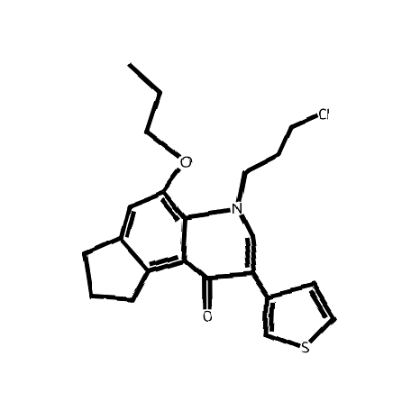 CCCOc1cc2c(c3c(=O)c(-c4ccsc4)cn(CCCCl)c13)CCC2